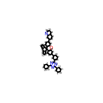 c1ccc(-c2nc(-c3ccccc3)nc(-c3cccc(-c4ccc5c(c4)Oc4cc(-c6ccc7cccnc7c6)ccc4C54c5ccccc5-c5ccccc54)c3)n2)cc1